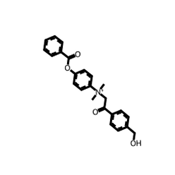 C[N+](C)(CC(=O)c1ccc(CO)cc1)c1ccc(OC(=O)c2ccccc2)cc1